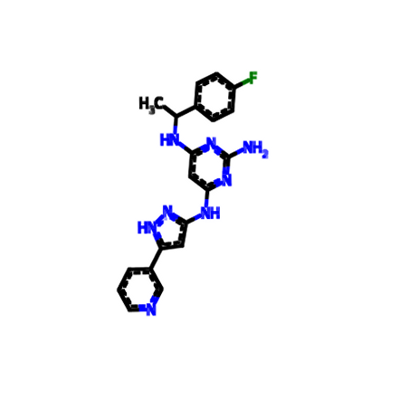 CC(Nc1cc(Nc2cc(-c3cccnc3)[nH]n2)nc(N)n1)c1ccc(F)cc1